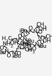 CC[C@@H](C)NCC(=O)N(CC(=O)N(CC(=O)N(CC(=O)N(CC(=O)N(CC(=O)N(CC(=O)N(CC(=O)N(CC(=O)N(CC(N)=O)[C@H](C)CC)[C@H](C)CC)C[C@@H](C)O)C[C@H](C)O)[C@H](C)CC)[C@H](C)CC)C[C@@H](C)O)C[C@H](C)O)[C@H](C)CC